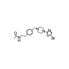 CC(=O)NCCc1ccc(CN2CCN(c3ncc(Br)s3)CC2)cc1